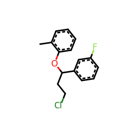 Cc1ccccc1OC(CCCl)c1cccc(F)c1